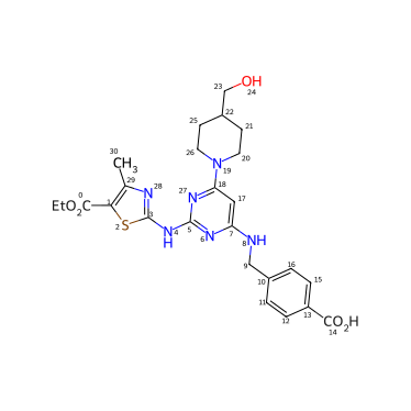 CCOC(=O)c1sc(Nc2nc(NCc3ccc(C(=O)O)cc3)cc(N3CCC(CO)CC3)n2)nc1C